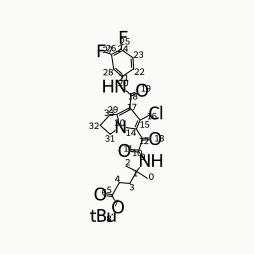 CC(C)(CCC(=O)OC(C)(C)C)NC(=O)C(=O)c1c(Cl)c(C(=O)Nc2ccc(F)c(F)c2)c2n1CCC2